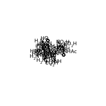 CC[C@H](C)[C@H](NC(=O)[C@H](CCC(=O)O)NC(=O)[C@H](CCC(=O)O)NC(=O)[C@H](CCC(=O)O)NC(=O)[C@H](Cc1ccccc1)NC(C)=O)C(=O)N[C@@H](CCCNC(=N)N)C(=O)N1CCC[C@H]1C(=O)N[C@@H](CC(=O)O)C(=O)NCC(=O)N[C@@H](Cc1ccc(O)cc1)C(=O)N[C@@H](CC(N)=O)C(=O)N[C@H](C(=O)N[C@@H](Cc1ccc(O)cc1)C(=O)N[C@@H](CCCNC(=N)N)C(=O)N[C@@H](CO)C(=O)N[C@@H](CCC(=O)O)C(N)=O)C(C)C